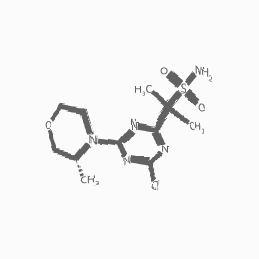 C[C@@H]1COCCN1c1nc(Cl)nc(C(C)(C)S(N)(=O)=O)n1